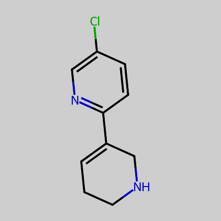 Clc1ccc(C2=CCCNC2)nc1